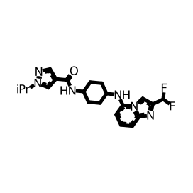 CC(C)n1cc(C(=O)NC2CCC(Nc3cccc4nc(C(F)F)cn34)CC2)cn1